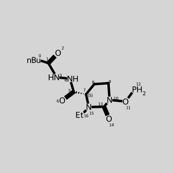 CCCCC(=O)NNC(=O)[C@@H]1CCN(OP)C(=O)N1CC